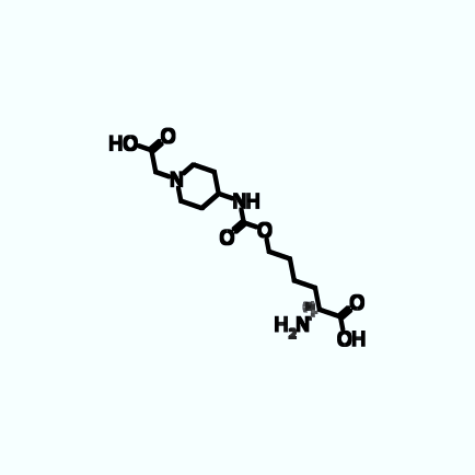 N[C@H](CCCCOC(=O)NC1CCN(CC(=O)O)CC1)C(=O)O